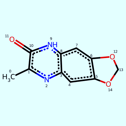 Cc1nc2cc3c(cc2[nH]c1=O)OCO3